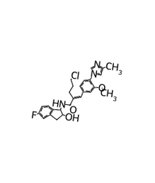 COc1cc(/C=C(\CCCCl)C(=O)NC2c3ccc(F)cc3CC2O)ccc1-n1cnc(C)c1